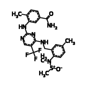 Cc1ccc(N(C)[S+](C)[O-])c(CNc2nc(Nc3cc(C(N)=O)ccc3C)ncc2C(F)(F)F)c1